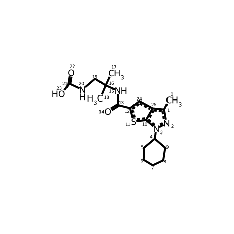 Cc1nn(C2CCCCC2)c2sc(C(=O)NC(C)(C)CNC(=O)O)cc12